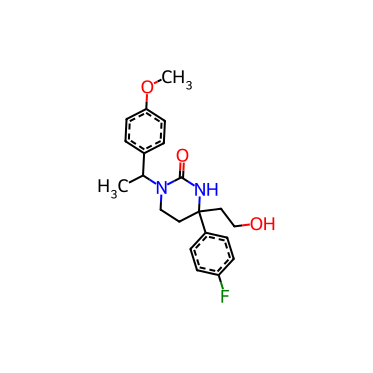 COc1ccc(C(C)N2CCC(CCO)(c3ccc(F)cc3)NC2=O)cc1